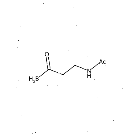 BC(=O)CCNC(C)=O